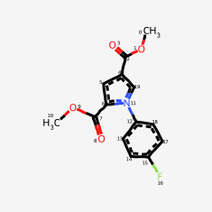 COC(=O)c1cc(C(=O)OC)n(-c2ccc(F)cc2)c1